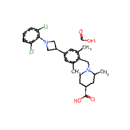 Cc1cc(C2CN(c3c(Cl)cccc3Cl)C2)cc(C)c1CN1CCC(C(=O)O)CC1C.O=CO